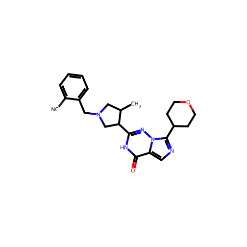 CC1CN(Cc2ccccc2C#N)CC1c1nn2c(C3CCOCC3)ncc2c(=O)[nH]1